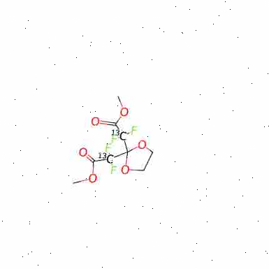 COC(=O)[13C](F)(F)C1([13C](F)(F)C(=O)OC)OCCO1